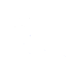 O=S(=O)(c1cccnc1)N1CCc2c(ncnc2NCC23CC4CC(CC(C4)C2)C3)C1